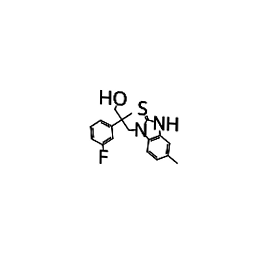 Cc1ccc2c(c1)[nH]c(=S)n2CC(C)(CO)c1cccc(F)c1